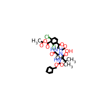 CC(=O)OC(=O)c1c(Cl)ccc(C(=O)[C@H](CC(=O)O)NC(=O)[C@H](C)NC(=O)[C@@H](NC(=O)OCc2ccccc2)C(C)C)c1Cl